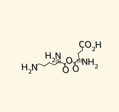 NCCCC[C@H](N)C(=O)OC(=O)[C@@H](N)CCC(=O)O